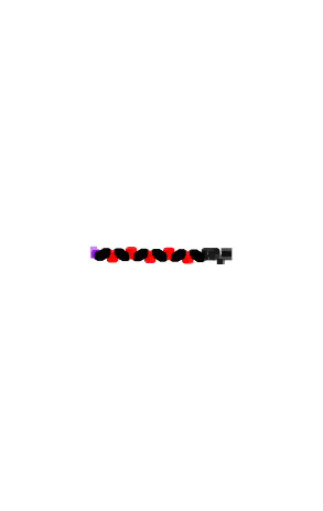 O=C(O)CCOCCOCCOCCOCCOCCI